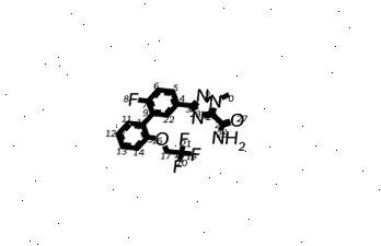 Cn1nc(-c2ccc(F)c(-c3ccccc3OCC(F)(F)F)c2)nc1C(N)=O